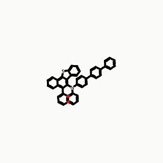 c1ccc(-c2ccc(-c3ccc(N(c4ccccc4)c4c(-c5ccccc5)c5ccccc5c5sc6ccccc6c45)cc3)cc2)cc1